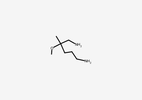 COC(C)(CN)CCCN